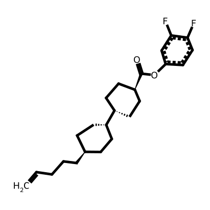 C=CCCC[C@H]1CC[C@H]([C@H]2CC[C@H](C(=O)Oc3ccc(F)c(F)c3)CC2)CC1